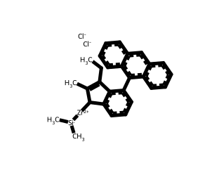 CCC1=C(C)[CH]([Zr+2][Si](C)C)c2cccc(-c3c4ccccc4cc4ccccc34)c21.[Cl-].[Cl-]